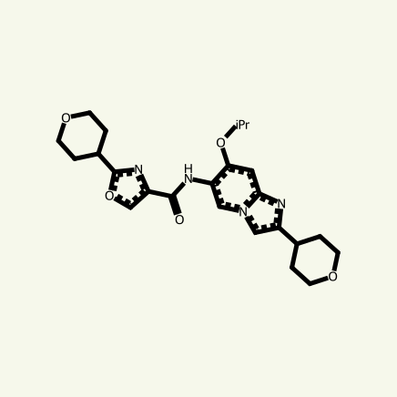 CC(C)Oc1cc2nc(C3CCOCC3)cn2cc1NC(=O)c1coc(C2CCOCC2)n1